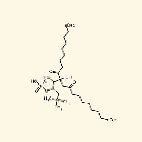 CCCCCCCCCCCCCCCCCC(=O)CC(O)(C(=O)CCCCCCCCCCCCCCCCC)C(O)C(C[N+](C)(C)C)OP(=O)([O-])O